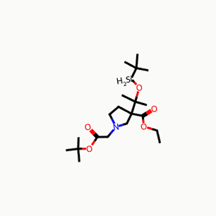 CCOC(=O)C1(C(C)(C)O[SiH2]C(C)(C)C)CCN(CC(=O)OC(C)(C)C)C1